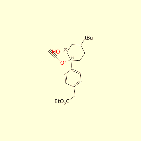 C#CO[C@@]1(c2ccc(CC(=O)OCC)cc2)CCC(C(C)(C)C)C[C@H]1O